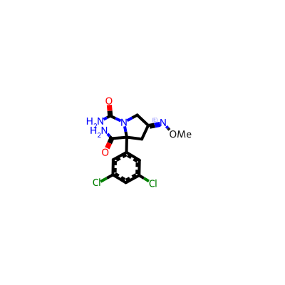 CO/N=C1/CN(C(N)=O)C(C(N)=O)(c2cc(Cl)cc(Cl)c2)C1